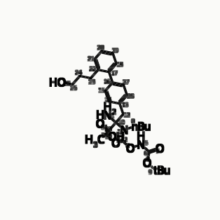 CCCCN(C(=O)ONC(=O)OC(C)(C)C)C(N)(Cc1ccc(-c2ccccc2CCCO)cc1)C(C)(O)O